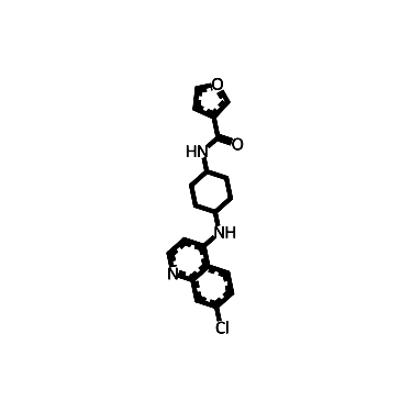 O=C(NC1CCC(Nc2ccnc3cc(Cl)ccc23)CC1)c1ccoc1